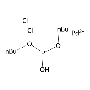 CCCCOP(O)OCCCC.[Cl-].[Cl-].[Pd+2]